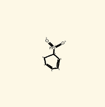 O=[SH](=O)C1C=CC=CC1